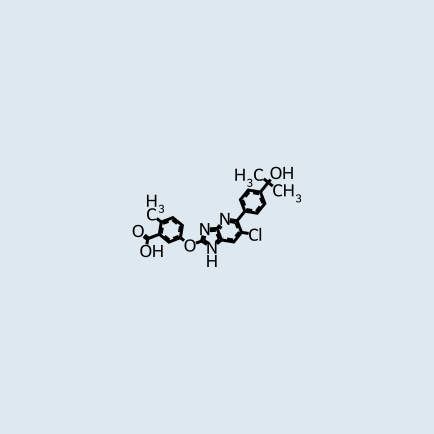 Cc1ccc(Oc2nc3nc(-c4ccc(C(C)(C)O)cc4)c(Cl)cc3[nH]2)cc1C(=O)O